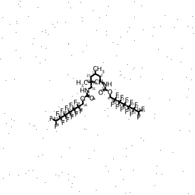 CC(CCNC(=O)OCC(F)(F)C(F)(F)C(F)(F)C(F)(F)C(F)(F)C(F)F)CC(C)(C)CNC(=O)OCC(F)(F)C(F)(F)C(F)(F)C(F)(F)C(F)(F)C(F)F